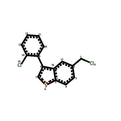 ClCc1ccc2scc(-c3ccccc3Cl)c2c1